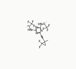 C[C@@H](Nc1nc(C#CC2(C)CC2(F)F)nc(N[C@H](C)C(F)(F)F)n1)C(F)(F)F